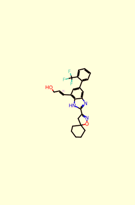 OC/C=C/c1cc(-c2ccccc2C(F)(F)F)cc2nc(C3=NOC4(CCCCC4)C3)[nH]c12